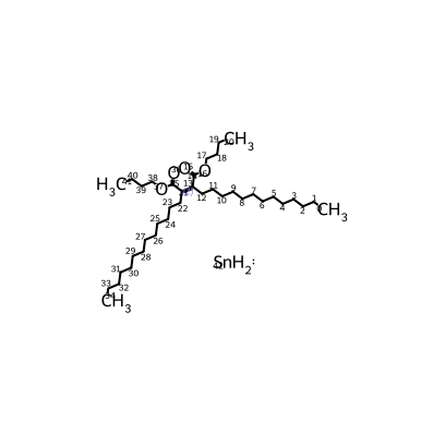 CCCCCCCCCCCCC/C(C(=O)OCCCC)=C(\CCCCCCCCCCCCC)C(=O)OCCCC.[SnH2]